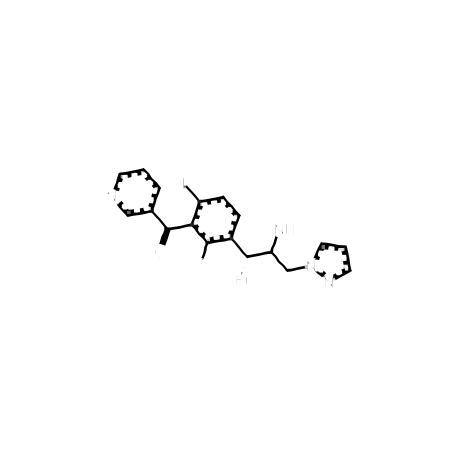 CC[C@H](c1ccc(Cl)c(C(=O)c2cccnc2)c1F)C(N)Cn1cccn1